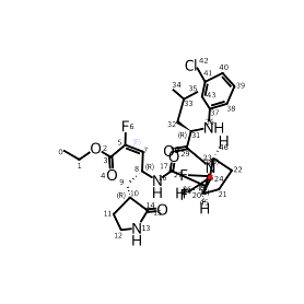 CCOC(=O)/C(F)=C\[C@@H](C[C@H]1CCNC1=O)NC(=O)[C@@H]1[C@@H]2CC[C@@H](CC2(F)F)N1C(=O)[C@@H](CC(C)C)Nc1cccc(Cl)c1